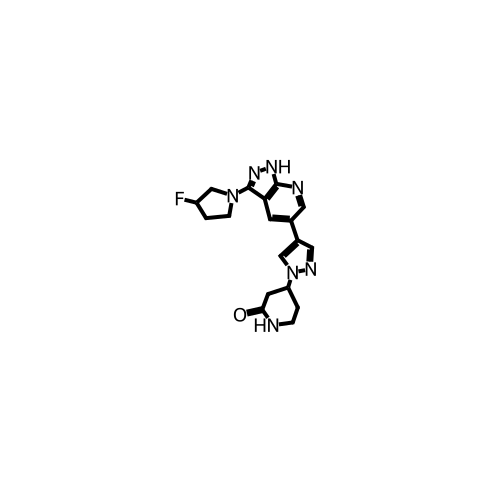 O=C1CC(n2cc(-c3cnc4[nH]nc(N5CCC(F)C5)c4c3)cn2)CCN1